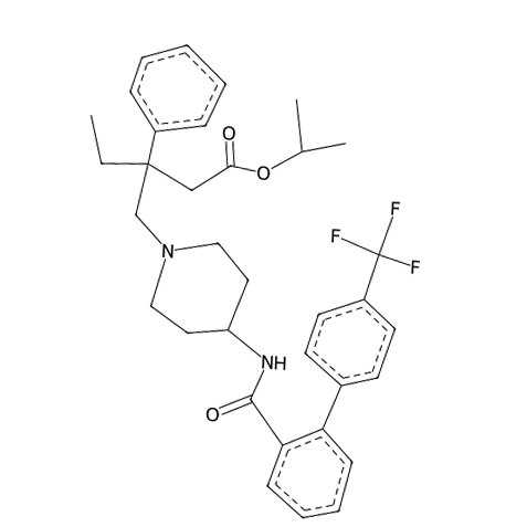 CCC(CC(=O)OC(C)C)(CN1CCC(NC(=O)c2ccccc2-c2ccc(C(F)(F)F)cc2)CC1)c1ccccc1